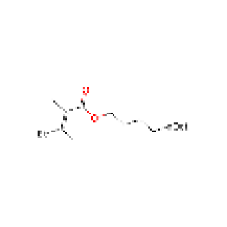 CCCCCCCCCCCCOC(=O)C(C)=C(C)CC